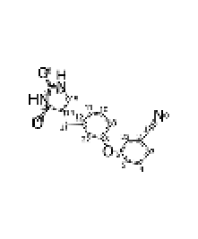 N#Cc1cccc(Oc2cccc(Cc3c[nH]c(=O)[nH]c3=O)c2)c1